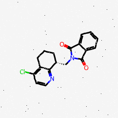 O=C1c2ccccc2C(=O)N1C[C@H]1CCCc2c(Cl)ccnc21